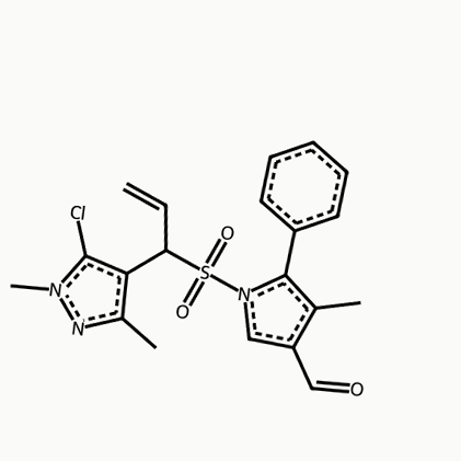 C=CC(c1c(C)nn(C)c1Cl)S(=O)(=O)n1cc(C=O)c(C)c1-c1ccccc1